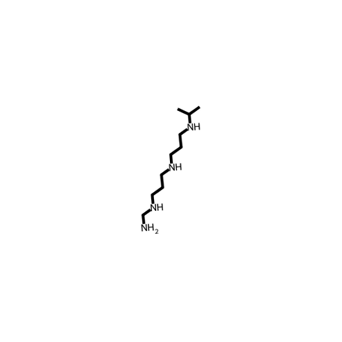 CC(C)NCCCNCCCNCN